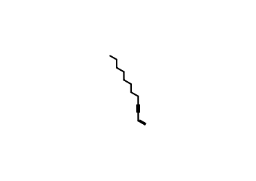 C=CC#CCCCCCCCC